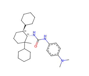 CN(C)c1ccc(NC(=O)N[C@H]2[C@H](C3CCCCC3)CCCC2(C)C2CCCCC2)cc1